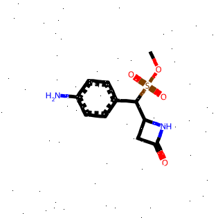 COS(=O)(=O)C(c1ccc(N)cc1)C1CC(=O)N1